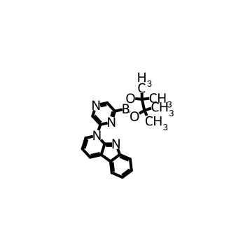 CC1(C)OB(c2cncc(-n3cccc4c5ccccc5nc3-4)n2)OC1(C)C